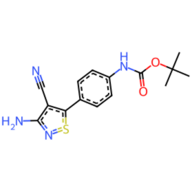 CC(C)(C)OC(=O)Nc1ccc(-c2snc(N)c2C#N)cc1